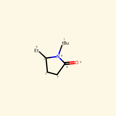 CCC1CCC(=O)N1C(C)(C)C